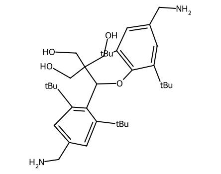 CC(C)(C)c1cc(CN)cc(C(C)(C)C)c1OC(c1c(C(C)(C)C)cc(CN)cc1C(C)(C)C)C(CO)(CO)CO